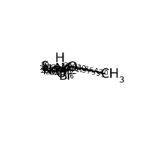 CCCCCCCCCCCCCCOc1ccc(C(=O)Nc2ccc(C[n+]3ccsc3)cc2)cc1.[Br-]